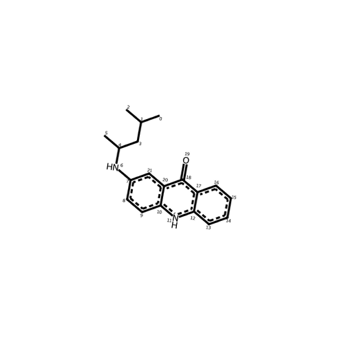 CC(C)CC(C)Nc1ccc2[nH]c3ccccc3c(=O)c2c1